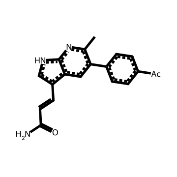 CC(=O)c1ccc(-c2cc3c(/C=C/C(N)=O)c[nH]c3nc2C)cc1